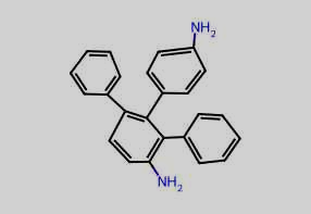 Nc1ccc(-c2c(-c3ccccc3)ccc(N)c2-c2ccccc2)cc1